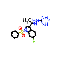 CC(=NNC(=N)N)c1cn(S(=O)(=O)c2ccccc2)c2cc(F)ccc12